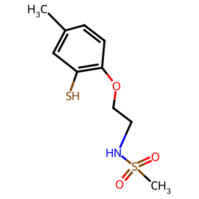 Cc1ccc(OCCNS(C)(=O)=O)c(S)c1